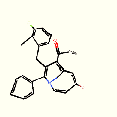 COC(=O)c1c(Cc2cccc(F)c2C)c(-c2ccccc2)n2ccc(Br)cc12